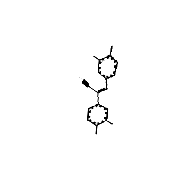 N#CC(=Cc1ccc(O)c(O)c1)c1ccc(O)c(O)c1